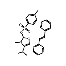 C(=Cc1ccccc1)c1ccccc1.Cc1ccc(S(=O)(=O)OC2OC=C(N(C)C)N2C)cc1